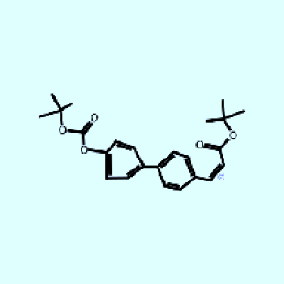 CC(C)(C)OC(=O)/C=C\c1ccc(-c2ccc(OC(=O)OC(C)(C)C)cc2)cc1